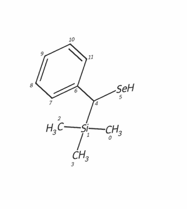 C[Si](C)(C)C([SeH])c1ccccc1